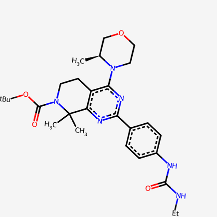 CCNC(=O)Nc1ccc(-c2nc(N3CCOC[C@@H]3C)c3c(n2)C(C)(C)N(C(=O)OC(C)(C)C)CC3)cc1